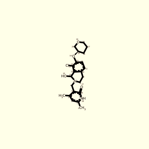 Cc1cc(C)c(CN2CCc3ccc(O[C@@H]4CCCOC4)c(Cl)c3C2O)c(=O)[nH]1